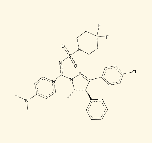 C[C@H]1[C@H](c2ccccc2)C(c2ccc(Cl)cc2)=NN1/C(=N\S(=O)(=O)N1CCC(F)(F)CC1)[n+]1ccc(N(C)C)cc1